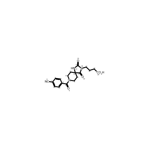 N#Cc1ccc(C(=O)N2CCC3(CC2)NC(=O)N(CCCC(=O)O)C3=O)cc1